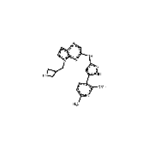 COc1nc(C)ccc1-c1cc(Nc2cnc3ccn(CC4CNC4)c3n2)n[nH]1